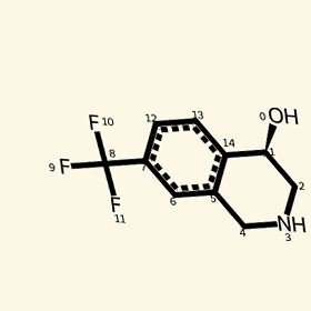 O[C@H]1CNCc2cc(C(F)(F)F)ccc21